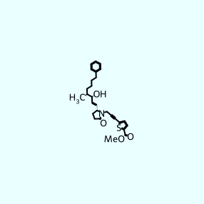 COC(=O)c1ccc(C#CCN2C(=O)CC[C@@H]2/C=C/[C@@H](O)[C@@H](C)CCCCc2ccccc2)s1